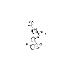 CC(C(=O)O)(c1cccc(F)c1)n1ncc2c1nc(N)n1nc(-c3ccco3)nc21